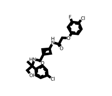 CC(CO)(NC(=O)C12CC(NC(=O)COc3ccc(Cl)c(F)c3)(C1)C2)c1ccc(Cl)cc1